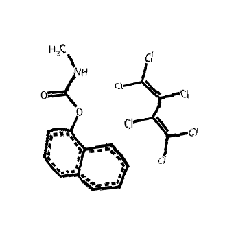 CNC(=O)Oc1cccc2ccccc12.ClC(Cl)=C(Cl)C(Cl)=C(Cl)Cl